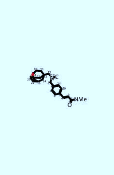 CNC(=O)/C=C/c1ccc(CN([11CH3])CC23CC4CCC(CC(C4)C2)C3)cc1